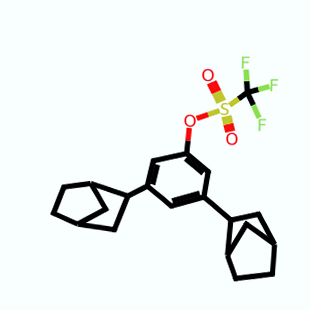 O=S(=O)(Oc1cc(C2CC3CCC2C3)cc(C2CC3CCC2C3)c1)C(F)(F)F